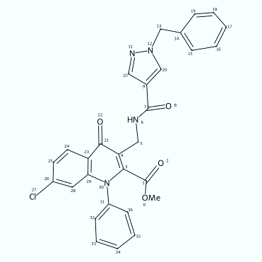 COC(=O)c1c(CNC(=O)c2cnn(Cc3ccccc3)c2)c(=O)c2ccc(Cl)cc2n1-c1ccccc1